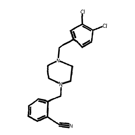 N#Cc1ccccc1CN1CCN(Cc2ccc(Cl)c(Cl)c2)CC1